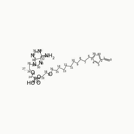 C#Cc1ccc(CCCCCCCCCCCOCCOP(=O)(O)CO[C@H](C)Cn2cnc3c(N)ncnc32)cc1